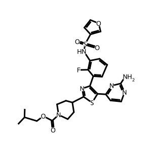 CC(C)COC(=O)N1CCC(c2nc(-c3cccc(NS(=O)(=O)c4ccoc4)c3F)c(-c3ccnc(N)n3)s2)CC1